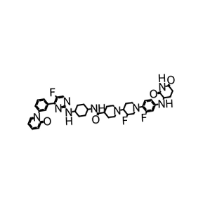 O=C1CCC(Nc2ccc(N3CCC(N4CCC(C(=O)NC5CCC(Nc6ncc(F)c(-c7cccc(-n8ccccc8=O)c7)n6)CC5)CC4)C(F)C3)c(F)c2)C(=O)N1